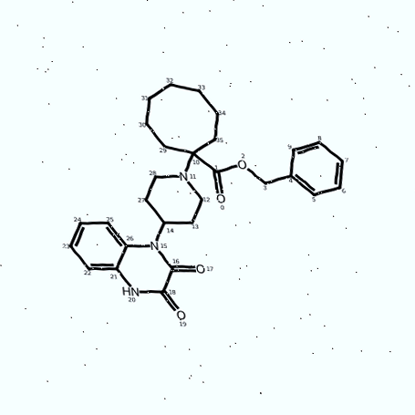 O=C(OCc1ccccc1)C1(N2CCC(n3c(=O)c(=O)[nH]c4ccccc43)CC2)CCCCCCC1